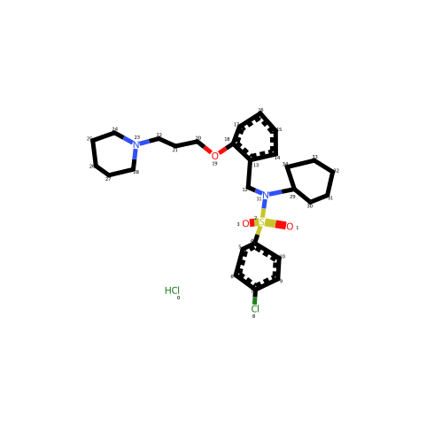 Cl.O=S(=O)(c1ccc(Cl)cc1)N(Cc1ccccc1OCCCN1CCCCC1)C1CCCCC1